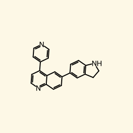 c1cc(-c2ccnc3ccc(-c4ccc5c(c4)CCN5)cc23)ccn1